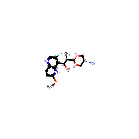 COc1ccc2ncc(F)c(C(O)[C@@H](C)[C@H]3OC[C@H](N)CO3)c2n1